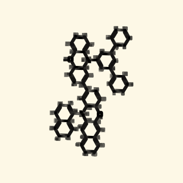 c1ccc(-c2cc(-c3ccccc3)cc(N3c4ccccc4Oc4ccc(-c5ccc6c(c5)N(c5cccc7ccccc57)c5cc7ccccc7cc5O6)cc43)c2)cc1